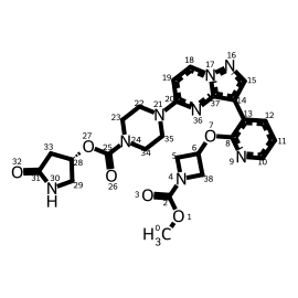 COC(=O)N1CC(Oc2ncccc2-c2cnn3ccc(N4CCN(C(=O)O[C@@H]5CNC(=O)C5)CC4)nc23)C1